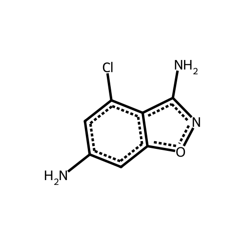 Nc1cc(Cl)c2c(N)noc2c1